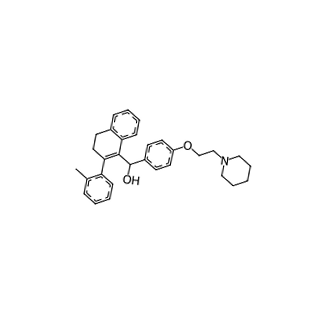 Cc1ccccc1C1=C(C(O)c2ccc(OCCN3CCCCC3)cc2)c2ccccc2CC1